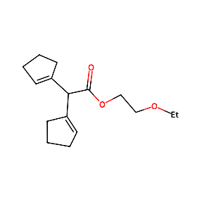 CCOCCOC(=O)C(C1=CCCC1)C1=CCCC1